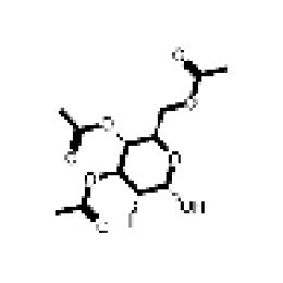 CC(=O)OC[C@H]1O[C@H](O)[C@H](I)[C@@H](OC(C)=O)[C@@H]1OC(C)=O